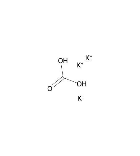 O=C(O)O.[K+].[K+].[K+]